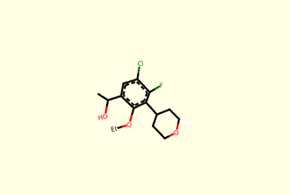 CCOc1c(C(C)O)cc(Cl)c(F)c1C1CCOCC1